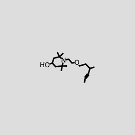 CC#CC(C)CCOCCN1C(C)(C)CC(O)CC1(C)C